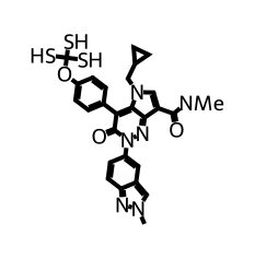 CNC(=O)c1cn(CC2CC2)c2c(-c3ccc(OC(S)(S)S)cc3)c(=O)n(-c3ccc4nn(C)cc4c3)nc12